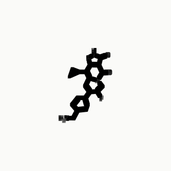 NCc1ccc(-c2cc3c(C4CC4)c4s[nH]c(=O)c4c(=O)n3cc2F)cc1